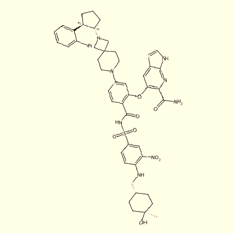 CC(C)c1ccccc1[C@H]1CCC[C@@H]1N1CC2(CCN(c3ccc(C(=O)NS(=O)(=O)c4ccc(NC[C@H]5CC[C@](C)(O)CC5)c([N+](=O)[O-])c4)c(Oc4cc5cc[nH]c5nc4C(N)=O)c3)CC2)C1